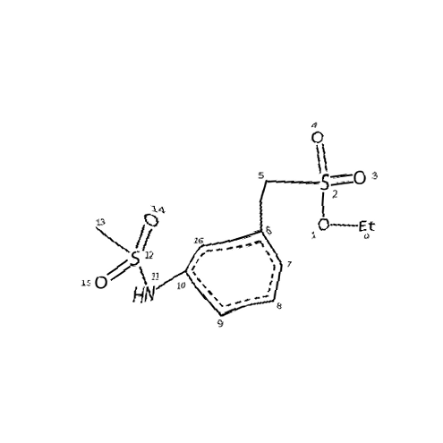 CCOS(=O)(=O)Cc1cccc(NS(C)(=O)=O)c1